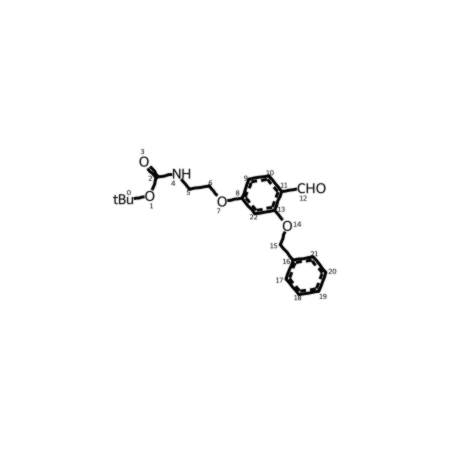 CC(C)(C)OC(=O)NCCOc1ccc(C=O)c(OCc2ccccc2)c1